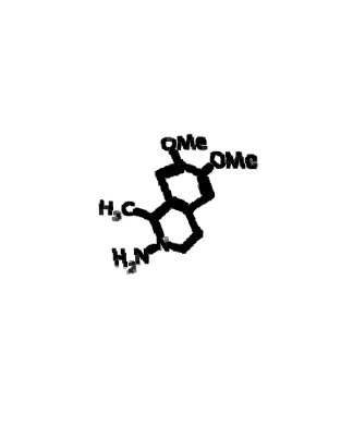 COc1cc2c(cc1OC)C(C)N(N)CC2